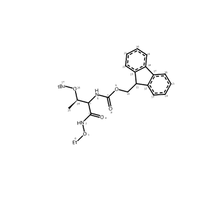 CCONC(=O)C(NC(=O)OCC1c2ccccc2-c2ccccc21)[C@@H](C)OC(C)(C)C